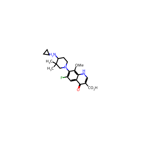 C1CC1.COc1c(N2CCC(N)C(C)(C)C2)c(F)cc2c(=O)c(C(=O)O)c[nH]c12